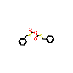 O=C(OC(=O)SCc1ccccc1)SCc1ccccc1